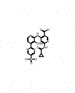 CCC(=O)c1cnc(NC(=O)C2CC2)cc1Nc1nccc(-c2ncc(P(=O)(CC)CC)cn2)c1OC